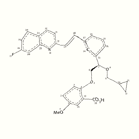 COc1ccc(OC[C@H](OCC2CC2)c2cccc(/C=C/c3ccc4ccc(F)cc4n3)c2)c(C(=O)O)c1